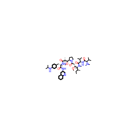 CC[C@H](C)[C@@H]([C@@H](CC(=O)N1CCCC1[C@H](OC)[C@@H](C)C(=O)N[C@@H](Cc1ccc(NC(C)C)cc1)C(=O)Nc1cnc2ccccc2c1)OC)N(C)C(=O)[C@@H](NC(=O)C(C(C)C)N(C)C)C(C)C